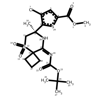 COC(=O)c1cc(Cl)c([C@]2(C)CS(=O)(=O)C3(CCC3)/C(=N\C(=O)OC(C)(C)C)N2)s1